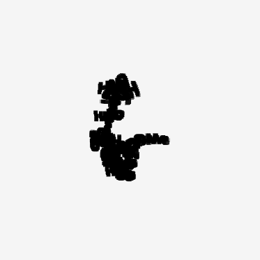 C=CC(=O)NC[C@H](NC(=O)CCCCCNC(=O)CCCCC1SCC2NC(=O)N[C@@H]21)C(=O)N1CC(Oc2cc(-c3ccccc3)nc3cc(OC)ccc23)C[C@H]1C(=O)N[C@]1(C(=O)NS(=O)(=O)c2ccccc2)C[C@H]1C=C